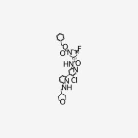 O=C(Nc1cc(-c2cccc(NCC3CCOCC3)n2)c(Cl)cn1)[C@H]1C[C@@H](F)CN(C(=O)OCc2ccccc2)C1